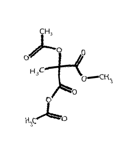 COC(=O)C(C)(OC(C)=O)C(=O)OC(C)=O